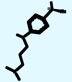 C[C@H](c1ccc(N(C)CCCN(C)C)cc1)C(C)(C)C